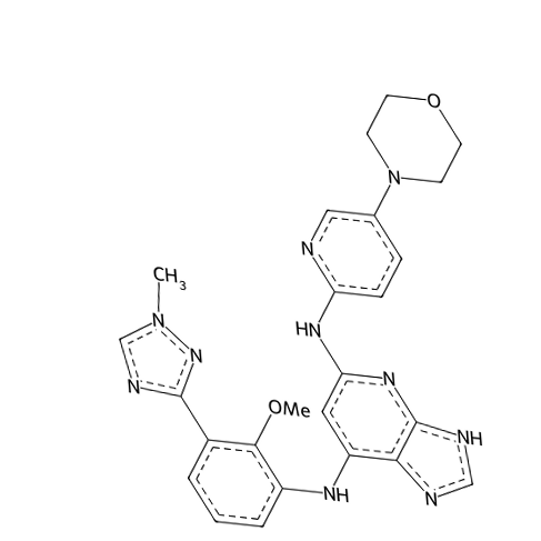 COc1c(Nc2cc(Nc3ccc(N4CCOCC4)cn3)nc3[nH]cnc23)cccc1-c1ncn(C)n1